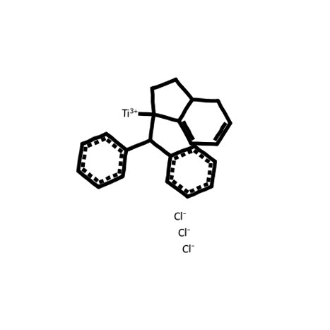 [Cl-].[Cl-].[Cl-].[Ti+3][C]1(C(c2ccccc2)c2ccccc2)CCC2CC=CC=C21